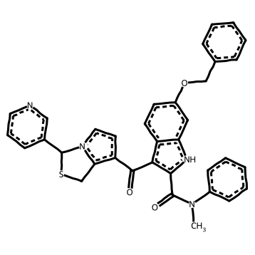 CN(C(=O)c1[nH]c2cc(OCc3ccccc3)ccc2c1C(=O)c1ccn2c1CSC2c1cccnc1)c1ccccc1